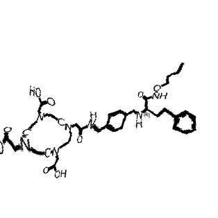 CCCCONC(=O)[C@@H](CCc1ccccc1)NCC1C=CC(CNC(=O)CN2CCN(CC(=O)O)CCN(CC(=O)O)CCN(CC(=O)O)CC2)=CC1